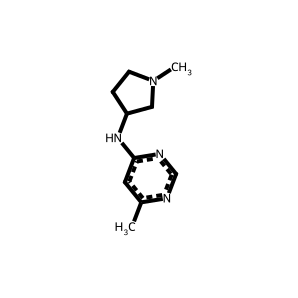 Cc1cc(NC2CCN(C)C2)ncn1